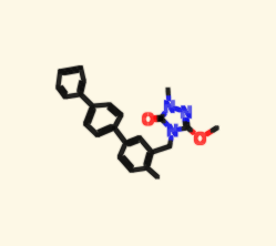 COc1nn(C)c(=O)n1Cc1cc(-c2ccc(-c3ccccc3)cc2)ccc1C